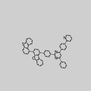 c1ccc(-c2cc(-c3ccc(-c4ccccn4)cc3)nc(-c3ccc(-c4ccc(-c5cccc6sc7ccccc7c56)c5oc6ccccc6c45)cc3)n2)cc1